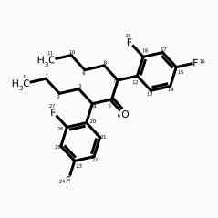 CCCCC(C(=O)C(CCCC)c1ccc(F)cc1F)c1ccc(F)cc1F